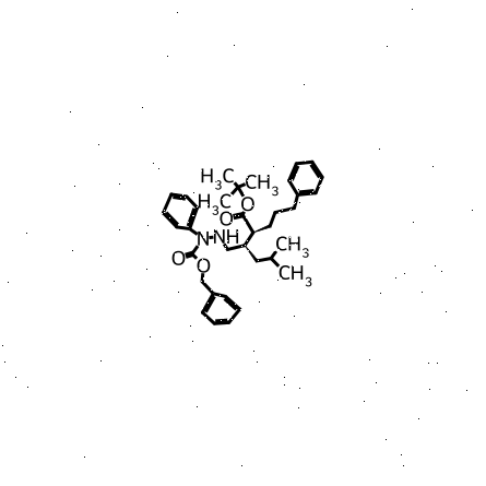 CC(C)C[C@@H](CNN(C(=O)OCc1ccccc1)c1ccccc1)[C@H](CCCc1ccccc1)C(=O)OC(C)(C)C